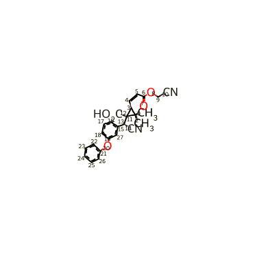 CC1(C)[C@H](/C=C\C(=O)OCC#N)[C@@]1(C(=O)O)[C@@H](C#N)c1cccc(Oc2ccccc2)c1